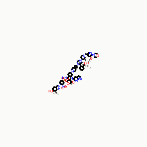 COc1cc(CN2CCC(N3CCN(C4CC5(CCN(c6ccc(C(=O)NS(=O)(=O)c7ccc(NCC8CCC(C)(O)CC8)c([N+](=O)[O-])c7)c(N7c8cc9cc[nH]c9nc8O[C@H]8COCC[C@@H]87)c6)CC5)C4)[C@H](c4ccccc4C(C)(C)O)C3)CC2)cnc1N1CCOCC1